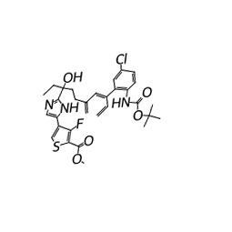 C=C/C(=C\C(=C)CCC(O)(CC)c1ncc(-c2csc(C(=O)OC)c2F)[nH]1)c1cc(Cl)ccc1NC(=O)OC(C)(C)C